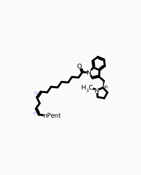 CCCCC/C=C\C/C=C\CCCCCCCC(=O)n1cc(C[C@H]2CCCN2C)c2ccccc21